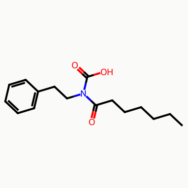 CCCCCCC(=O)N(CCc1ccccc1)C(=O)O